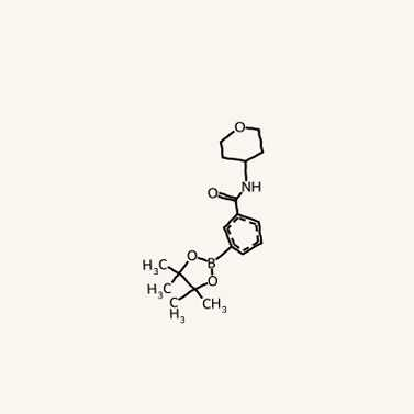 CC1(C)OB(c2cccc(C(=O)NC3CCOCC3)c2)OC1(C)C